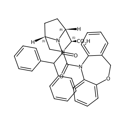 O=C(O)[C@@H]1[C@H]2CC[C@@H](CN1C(=O)N1c3ccccc3COc3ccccc31)N2C(=O)C(c1ccccc1)c1ccccc1